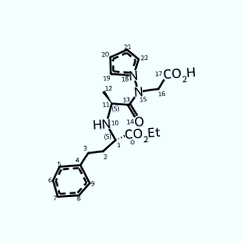 CCOC(=O)[C@H](CCc1ccccc1)N[C@@H](C)C(=O)N(CC(=O)O)n1cccc1